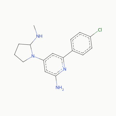 CNC1CCCN1c1cc(N)nc(-c2ccc(Cl)cc2)c1